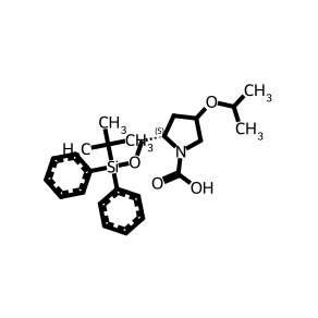 CC(C)OC1C[C@@H](CO[Si](c2ccccc2)(c2ccccc2)C(C)(C)C)N(C(=O)O)C1